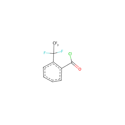 O=C(Cl)c1ccccc1C(F)(F)C(F)(F)F